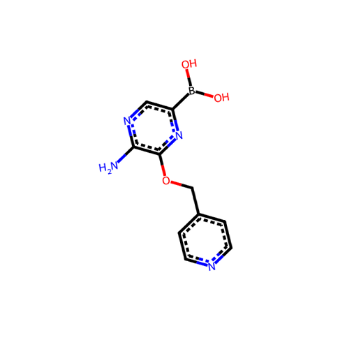 Nc1ncc(B(O)O)nc1OCc1ccncc1